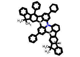 CC1(C)C2=C(C(c3ccccc3)=C3c4cc(C5=CC=CCC5)cc5c4B(c4cc(-c6ccccc6)cc6c4N5C4=CCCC5=C4B6C4=C5C[C@H]5C(=C4)C(C)(C)c4ccccc45)C3C2)c2ccccc21